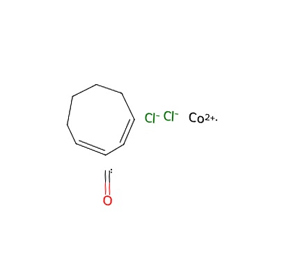 C1=C\CCCC\C=C/1.[C]=O.[Cl-].[Cl-].[Co+2]